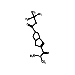 CN(C)C(=O)C1=CC2CN(C(=O)OC(C)(C)C)CC2C1